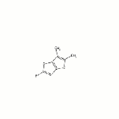 Cc1sc2cc(F)sc2c1C